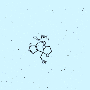 NS(=O)(=O)c1sccc1C1(CBr)OCCO1